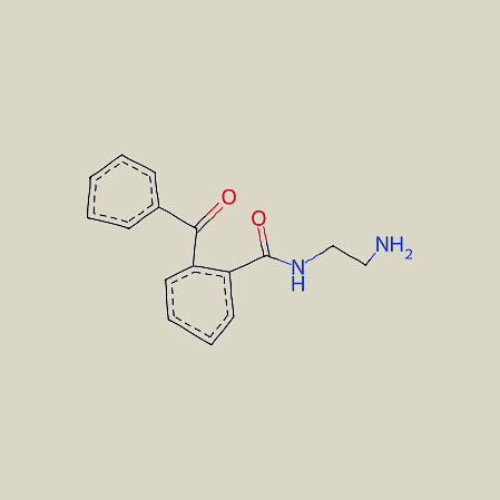 NCCNC(=O)c1ccccc1C(=O)c1ccccc1